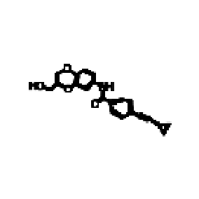 O=C(Nc1ccc2c(c1)OC(CO)CO2)c1ccc(C#CC2CC2)cc1